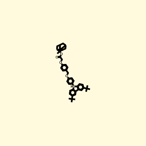 CC(C)(C)c1ccc2c(c1)-c1cc(C(C)(C)C)ccc1[SH]2c1ccc(OCc2ccc(OCC(=O)OC3(C)C4CC5CC(C4)CC3C5)cc2)cc1